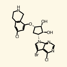 O[C@@H]1[C@H](O)[C@@H](Oc2cc(Cl)cc3c2CNCC3)C[C@H]1n1cc(Br)c2c(Cl)ncnc21